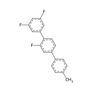 Cc1ccc(-c2ccc(-c3cc(F)cc(F)c3)c(F)c2)cc1